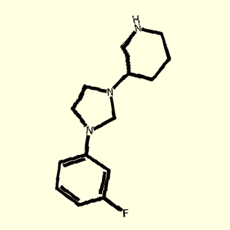 Fc1cccc(N2CCN(C3CCCNC3)C2)c1